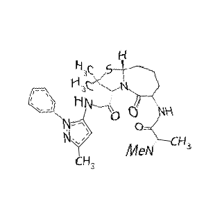 CN[C@@H](C)C(=O)NC1CCC[C@H]2SC(C)(C)[C@@H](C(=O)Nc3cc(C)nn3-c3ccccc3)N2C1=O